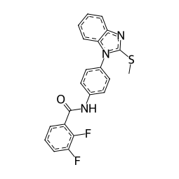 CSc1nc2ccccc2n1-c1ccc(NC(=O)c2cccc(F)c2F)cc1